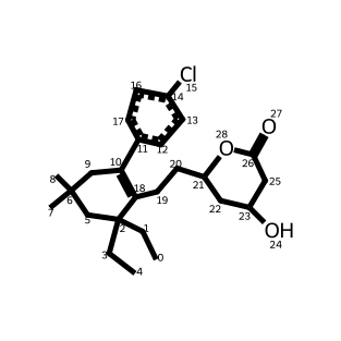 CCC1(CC)CC(C)(C)CC(c2ccc(Cl)cc2)=C1CCC1CC(O)CC(=O)O1